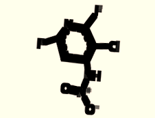 O=[N+]([O-])Nc1cc(F)nc(F)c1Cl